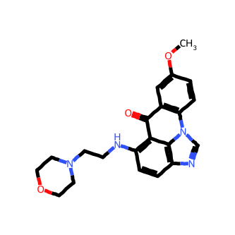 COc1ccc2c(c1)c(=O)c1c(NCCN3CCOCC3)ccc3ncn2c31